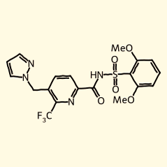 COc1cccc(OC)c1S(=O)(=O)NC(=O)c1ccc(Cn2cccn2)c(C(F)(F)F)n1